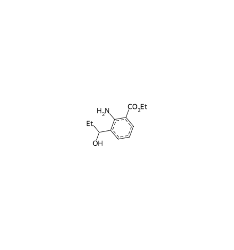 CCOC(=O)c1cccc(C(O)CC)c1N